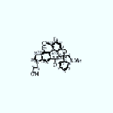 CNC[C@@]1(c2ccccc2)Cc2c(cc(F)c(Cl)c2-c2c(C(N)=O)cc3c(c2F)CCN3CCO)O1